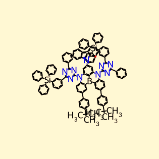 CC(C)(C)c1ccc(-c2ccc3c(c2)B2c4cc(-c5ccc(C(C)(C)C)cc5)ccc4N(c4nc(-c5ccccc5)nc(-c5cccc([Si](c6ccccc6)(c6ccccc6)c6ccccc6)c5)n4)c4cc(-n5c6ccccc6c6ccccc65)cc(c42)N3c2nc(-c3ccccc3)nc(-c3cccc([Si](c4ccccc4)(c4ccccc4)c4ccccc4)c3)n2)cc1